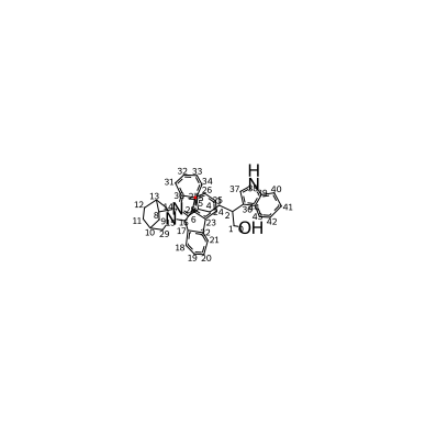 OCC(CCc1cn(C2CC3CCC2CN(C2c4ccccc4-c4ccccc42)C3)c2ccccc12)c1c[nH]c2ccccc12